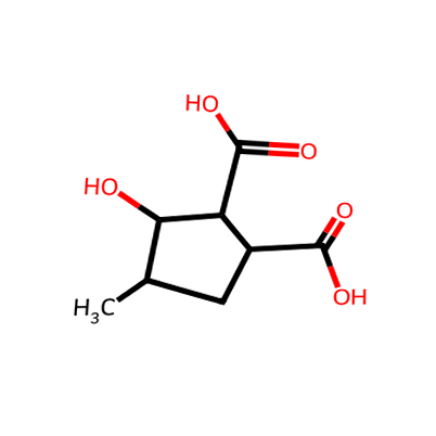 CC1CC(C(=O)O)C(C(=O)O)C1O